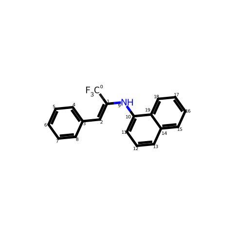 FC(F)(F)C(=Cc1ccccc1)Nc1cccc2ccccc12